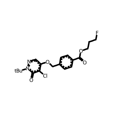 CC(C)(C)n1ncc(OCc2ccc(C(=O)OCCCF)cc2)c(Cl)c1=O